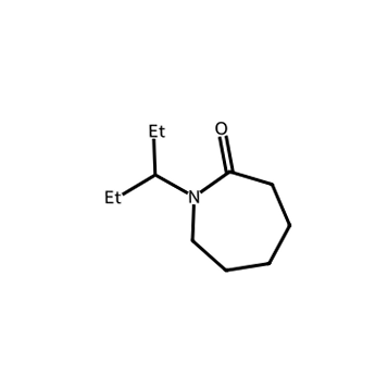 CCC(CC)N1CCCCCC1=O